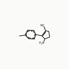 Cc1ccc(C2=C(C#N)CCC2N)cc1